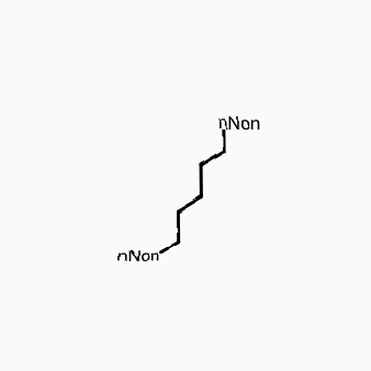 [C]CCCCCCCCCCCCCCCCCCCCCC